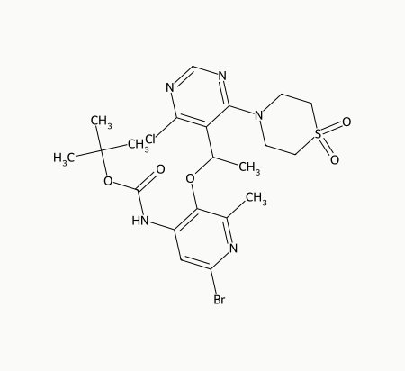 Cc1nc(Br)cc(NC(=O)OC(C)(C)C)c1OC(C)c1c(Cl)ncnc1N1CCS(=O)(=O)CC1